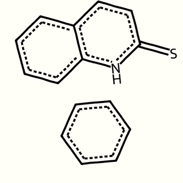 S=c1ccc2ccccc2[nH]1.c1ccccc1